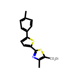 CCOC(=O)c1sc(-c2ccc(-c3ccc(C)cc3)s2)nc1C